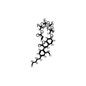 C=CC(=O)OCC(F)(F)OC(F)(F)OC(F)(F)OC(F)(F)COc1ccc2cc(-c3ccc(CCCCC)cc3CC)c(=O)oc2c1